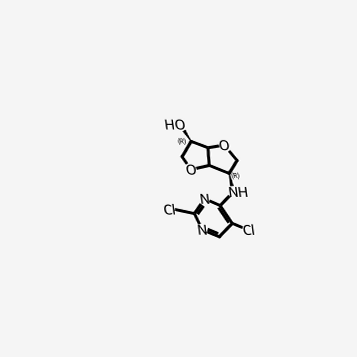 O[C@@H]1COC2C1OC[C@H]2Nc1nc(Cl)ncc1Cl